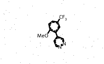 COc1ccc(C(F)(F)F)cc1-c1ccnnc1